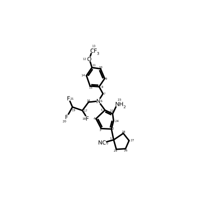 N#CC1(c2ccc(N(Cc3ccc(OC(F)(F)F)cc3)CC(F)C(F)F)c(N)c2)CCCC1